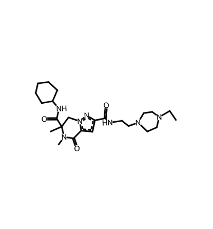 CCN1CCN(CCNC(=O)c2cc3n(n2)CC(C)(C(=O)NC2CCCCC2)N(C)C3=O)CC1